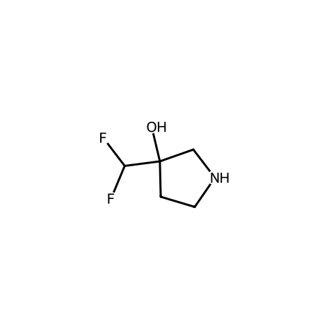 OC1(C(F)F)CCNC1